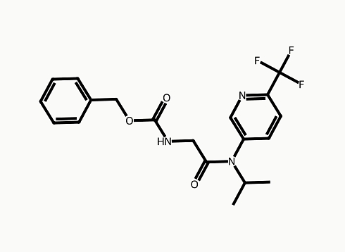 CC(C)N(C(=O)CNC(=O)OCc1ccccc1)c1ccc(C(F)(F)F)nc1